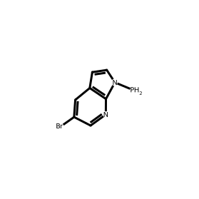 Pn1ccc2cc(Br)cnc21